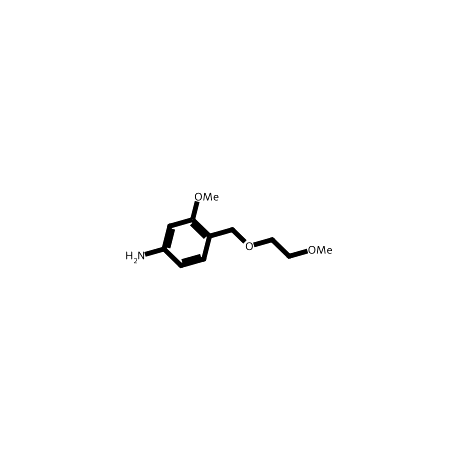 COCCOCc1ccc(N)cc1OC